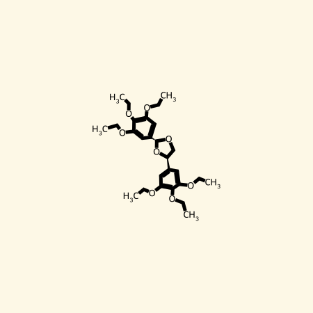 CCOc1cc([C@@H]2OC[C@@H](c3cc(OCC)c(OCC)c(OCC)c3)O2)cc(OCC)c1OCC